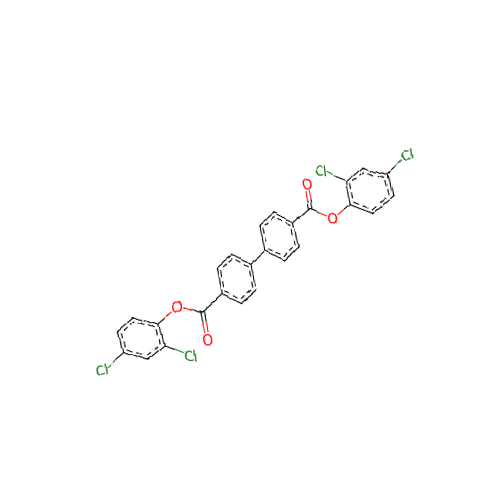 O=C(Oc1ccc(Cl)cc1Cl)c1ccc(-c2ccc(C(=O)Oc3ccc(Cl)cc3Cl)cc2)cc1